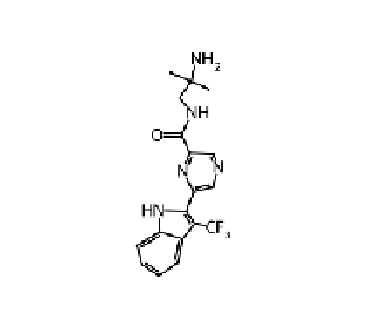 CC(C)(N)CNC(=O)c1cncc(-c2[nH]c3ccccc3c2C(F)(F)F)n1